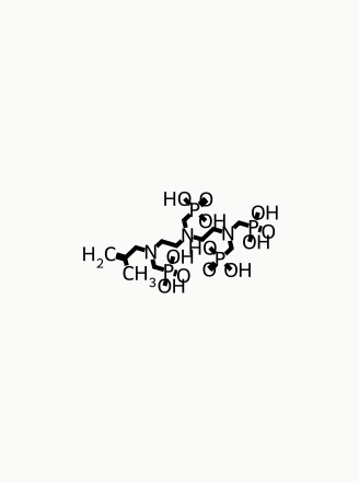 C=C(C)CN(CCN(CCN(CP(=O)(O)O)CP(=O)(O)O)CP(=O)(O)O)CP(=O)(O)O